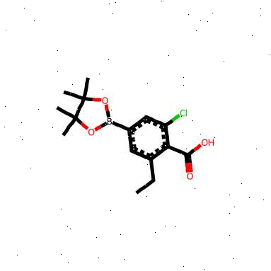 CCc1cc(B2OC(C)(C)C(C)(C)O2)cc(Cl)c1C(=O)O